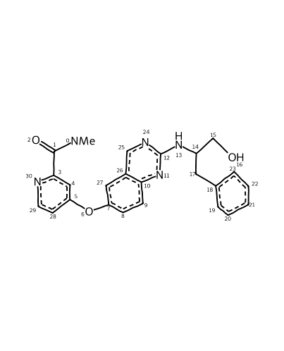 CNC(=O)c1cc(Oc2ccc3nc(NC(CO)Cc4ccccc4)ncc3c2)ccn1